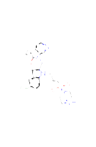 O=C1N(Cc2cc3cc(Cl)ccc3n2CCCS(=O)(=O)N2CCNCC2)c2cnccc2C12CC2